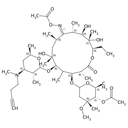 C#CCCN(C)[C@H]1C[C@@H](C)OC(O[C@@H]2C(C)[C@H](OC3C[C@@](C)(OC)[C@@H](OC(C)=O)[C@H](C)O3)[C@@H](C)C(=O)O[C@H](CC)[C@@](C)(O)[C@H](O)[C@@H](C)/C(=N/OC(C)=O)[C@H](C)C[C@@]2(C)O)[C@@H]1C